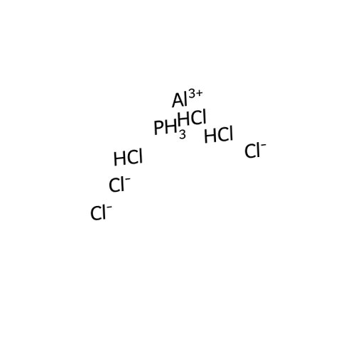 Cl.Cl.Cl.P.[Al+3].[Cl-].[Cl-].[Cl-]